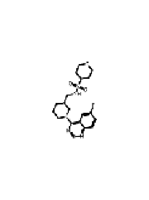 O=S(=O)(NCC1CCCN(c2ncnc3ccc(F)cc23)C1)C1CCOCC1